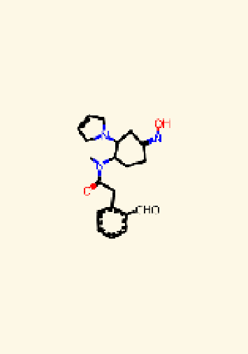 CN(C(=O)Cc1ccccc1C=O)C1CC/C(=N/O)CC1N1CC=CC1